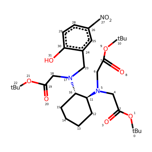 CC(C)(C)OC(=O)CN(CC(=O)OC(C)(C)C)[C@H]1CCCC[C@@H]1N(CC(=O)OC(C)(C)C)Cc1cc([N+](=O)[O-])ccc1O